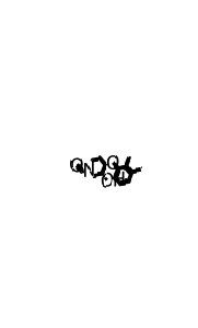 Cc1cccc(O[C@H]2CCN(C=O)C[C@@H]2O)c1C